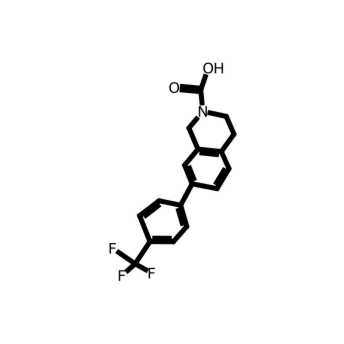 O=C(O)N1CCc2ccc(-c3ccc(C(F)(F)F)cc3)cc2C1